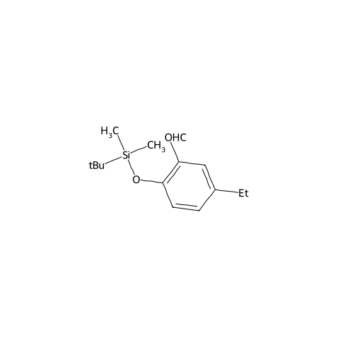 CCc1ccc(O[Si](C)(C)C(C)(C)C)c(C=O)c1